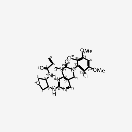 C=CC(=O)N[C@@H]1COC[C@@H]1Nc1ncc2c(n1)N(C)C(=O)N(c1c(Cl)c(OC)cc(OC)c1Cl)C2